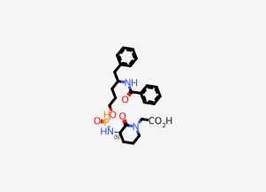 O=C(O)CN1CCC[C@H](N[PH](=O)OCCCC(Cc2ccccc2)NC(=O)c2ccccc2)C1=O